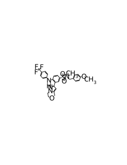 COc1ccc(CN(C)S(=O)(=O)c2ccc(Nc3ccc(C(F)(F)F)cc3)c(-c3cc4n(n3)CCOC4)c2)cc1